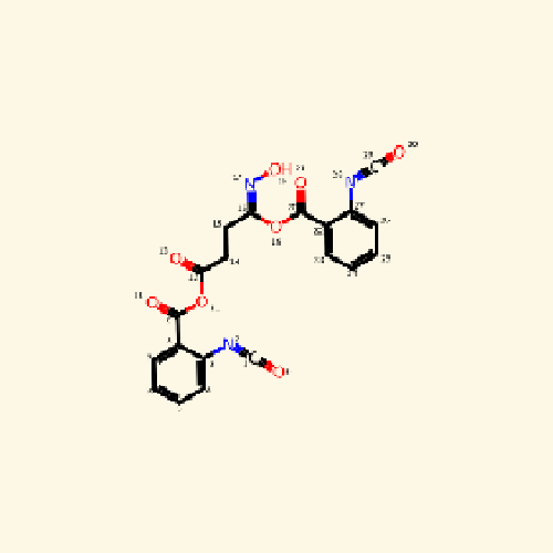 O=C=Nc1ccccc1C(=O)OC(=O)CC/C(=N/O)OC(=O)c1ccccc1N=C=O